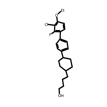 CCOc1ccc(-c2ccc(C3CCC(CCCCO)CC3)cc2)c(F)c1Cl